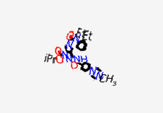 CCc1ccccc1N(CC)C(=O)N1Cc2c(NC(=O)c3ccc(N4CCN(C)CC4)cc3)nn(C(=O)OC(C)C)c2C1